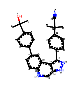 CC(C)(O)c1ccc(-c2ccc3ncc4[nH]nc(-c5ccc(C(C)(C)C#N)cc5)c4c3c2)cc1